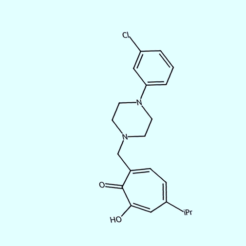 CC(C)c1ccc(CN2CCN(c3cccc(Cl)c3)CC2)c(=O)c(O)c1